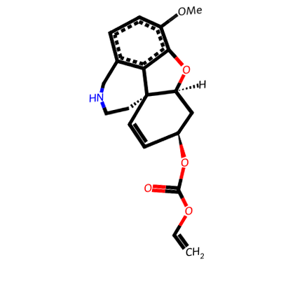 C=COC(=O)O[C@H]1C=C[C@@]23CCNCc4ccc(OC)c(c42)O[C@H]3C1